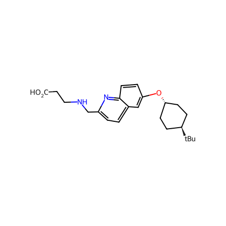 CC(C)(C)[C@H]1CC[C@H](Oc2ccc3nc(CNCCC(=O)O)ccc3c2)CC1